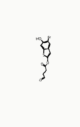 O=CCCC(=O)Oc1cc2cc(Br)c(O)cc2s1